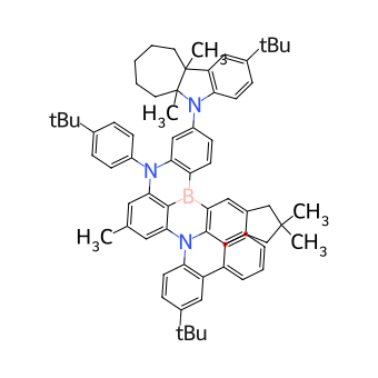 Cc1cc2c3c(c1)N(c1ccc(C(C)(C)C)cc1-c1ccccc1)c1cc4c(cc1B3c1ccc(N3c5ccc(C(C)(C)C)cc5C5(C)CCCCCC35C)cc1N2c1ccc(C(C)(C)C)cc1)CC(C)(C)C4